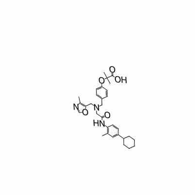 Cc1cc(C2CCCCC2)ccc1NC(=O)CN(Cc1ccc(OC(C)(C)C(=O)O)cc1)Cc1ocnc1C